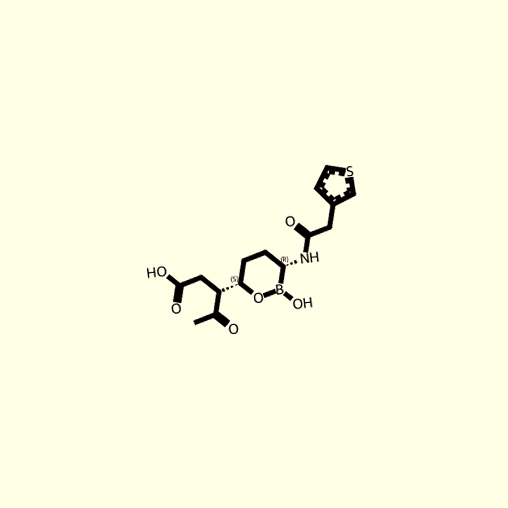 CC(=O)C(CC(=O)O)[C@@H]1CC[C@H](NC(=O)Cc2ccsc2)B(O)O1